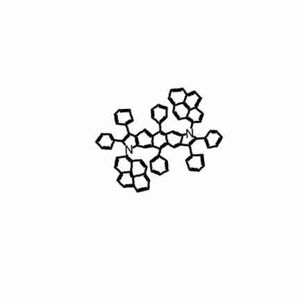 c1ccc(-c2c3cc4c(-c5ccccc5)c(-c5ccccc5)n(-c5ccc6ccc7cccc8ccc5c6c78)c4cc3c(-c3ccccc3)c3cc4c(-c5ccccc5)c(-c5ccccc5)n(-c5ccc6ccc7cccc8ccc5c6c78)c4cc23)cc1